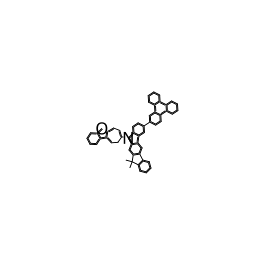 CC1(C)c2ccccc2-c2cc3c4cc(-c5ccc6c7ccccc7c7ccccc7c6c5)ccc4n(C4=CC=c5oc6ccccc6c5=CC4)c3cc21